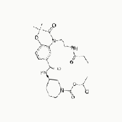 CCC(=O)NCCN1C(=O)C(C)(C)Oc2ccc(C(=O)N[C@@H]3CCCN(C(=O)OC(C)Cl)C3)cc21